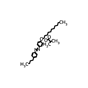 C=C(C)C(=O)OC(CCCCCCCCCC)Oc1ccc(/N=N/c2ccc(CCCC)cc2)cc1